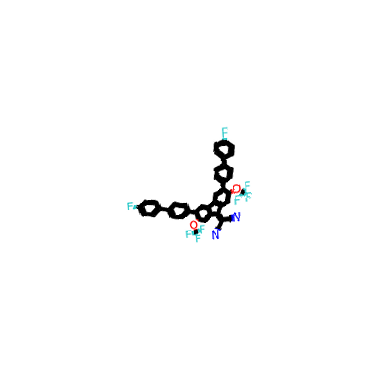 N#CC(C#N)=C1c2cc(OC(F)(F)F)c(-c3ccc(-c4ccc(F)cc4)cc3)cc2-c2cc(-c3ccc(-c4ccc(F)cc4)cc3)c(OC(F)(F)F)cc21